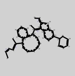 C/C=C\C=C(/C)c1ccccccc(/C(C)=c2/c(=C\C)oc3cc(C4C=CC=CC4)ccc23)c2ccccc12